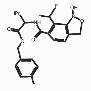 CC(C)C(NC(=O)c1ccc2c(c1C(F)F)B(O)OC2)C(=O)OCc1ccc(F)cc1